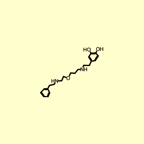 Oc1ccc(CCNCCCOCCNCCc2ccccc2)cc1O